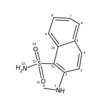 CNc1ccc2ccccc2c1S(N)(=O)=O